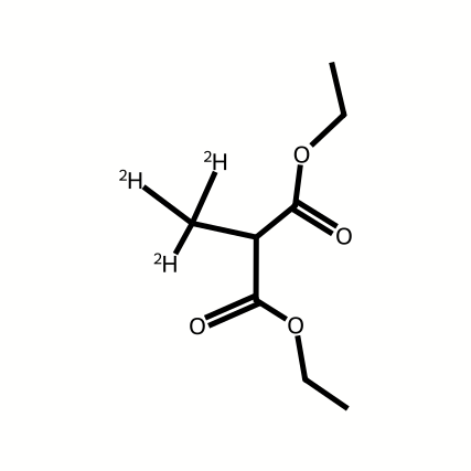 [2H]C([2H])([2H])C(C(=O)OCC)C(=O)OCC